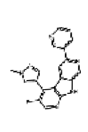 Cn1cc(-c2c(F)cnc3[nH]c4cnc(-c5cccnc5)cc4c23)cn1